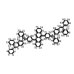 C(=C(c1ccccc1)c1ccccc1)c1ccc(N(c2ccccc2)c2ccc(-c3c4ccccc4cc4c(-c5ccc(N(c6ccccc6)c6ccc(C=C(c7ccccc7)c7ccccc7)cc6)cc5)c5ccccc5cc34)cc2)cc1